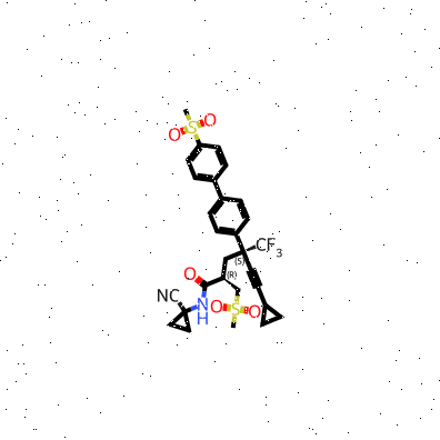 CS(=O)(=O)C[C@H](C[C@@](C#CC1CC1)(c1ccc(-c2ccc(S(C)(=O)=O)cc2)cc1)C(F)(F)F)C(=O)NC1(C#N)CC1